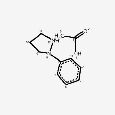 CC(=O)O.c1ccc(N2CCCN2)cc1